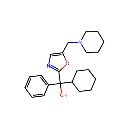 OC(c1ccccc1)(c1ncc(CN2CCCCC2)o1)C1CCCCC1